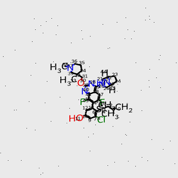 C=CC[Si](C)(C)c1c(Cl)cc(O)cc1-c1c(F)cc2c(N3C[C@H]4CC[C@@H](C3)N4)nc(OCC3(C)CCCN(C)C3)nc2c1F